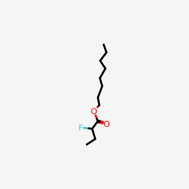 CCCCCCCCOC(=O)C(F)CC